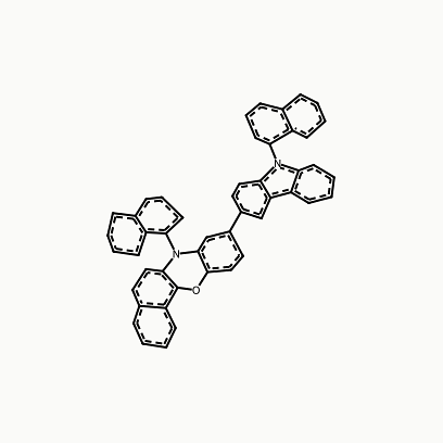 c1ccc2c(N3c4cc(-c5ccc6c(c5)c5ccccc5n6-c5cccc6ccccc56)ccc4Oc4c3ccc3ccccc43)cccc2c1